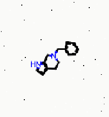 c1ccc(CN2CCc3cc[nH]c3C2)cc1